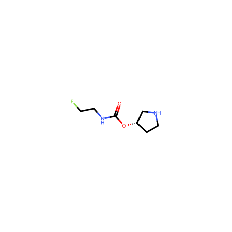 O=C(NCCF)O[C@H]1CCNC1